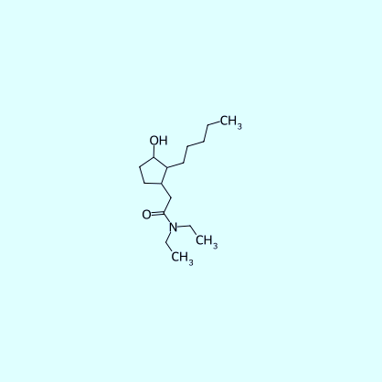 CCCCCC1C(O)CCC1CC(=O)N(CC)CC